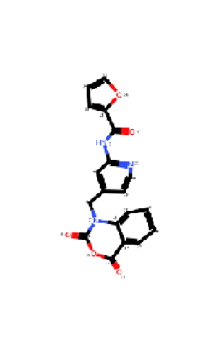 O=C(Nc1cc(Cn2c(=O)oc(=O)c3ccccc32)ccn1)c1ccco1